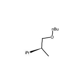 CCCCOC[C@@H](C)C(C)C